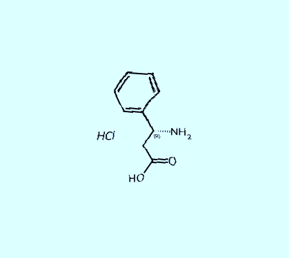 Cl.N[C@H](CC(=O)O)c1ccccc1